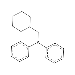 c1ccc(P(CC2CCCCC2)c2ccccc2)cc1